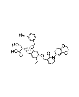 CCc1cc(CNC(CO)C(=O)O)c(OCc2cccc(C#N)c2)cc1OCc1cccn(-c2ccc3c(c2)OCCO3)c1=O